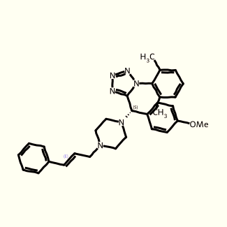 COc1ccc([C@@H](c2nnnn2-c2c(C)cccc2C)N2CCN(C/C=C/c3ccccc3)CC2)cc1